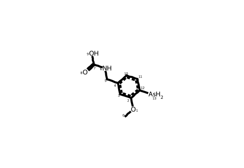 COc1cc(CNC(=O)O)ccc1[AsH2]